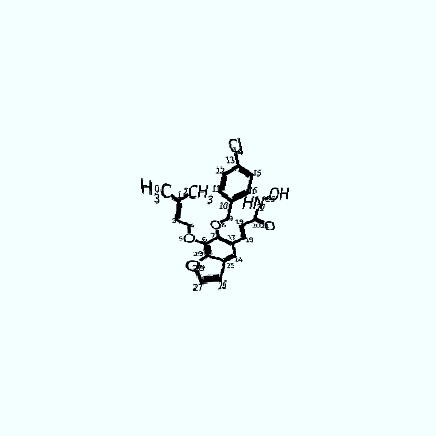 CC(C)=CCOc1c(OCc2ccc(Cl)cc2)c(/C=C/C(=O)NO)cc2ccoc12